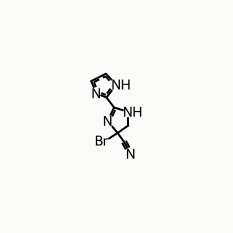 N#CC1(Br)CNC(c2ncc[nH]2)=N1